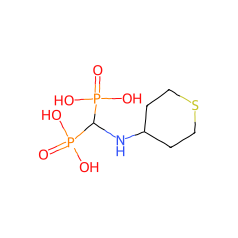 O=P(O)(O)C(NC1CCSCC1)P(=O)(O)O